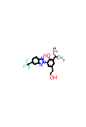 CC(C)c1cc(CCO)cc(-n2nc3ccc(C(F)(F)F)cc3n2)c1O